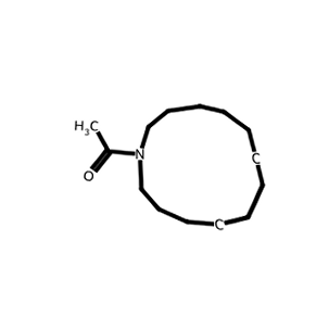 CC(=O)N1CCCCCCCCCCCC1